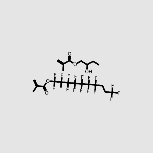 C=C(C)C(=O)OC(F)(F)C(F)(F)C(F)(F)C(F)(F)C(F)(F)C(F)(F)C(F)(F)CCC(F)(F)F.C=C(C)C(=O)OCC(O)CC